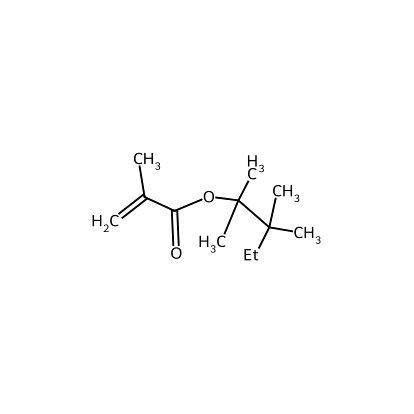 C=C(C)C(=O)OC(C)(C)C(C)(C)CC